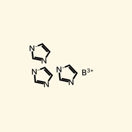 [B+3].c1c[n-]cn1.c1c[n-]cn1.c1c[n-]cn1